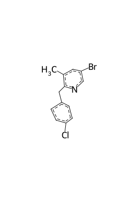 Cc1cc(Br)cnc1Cc1ccc(Cl)cc1